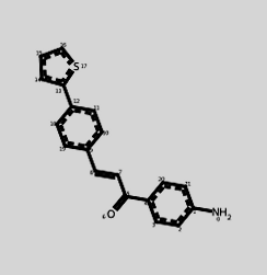 Nc1ccc(C(=O)C=Cc2ccc(-c3cccs3)cc2)cc1